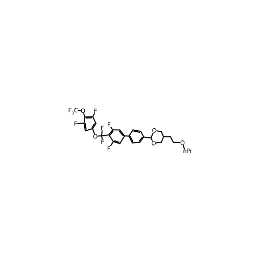 CCCOCCC1COC(c2ccc(-c3cc(F)c(C(F)(F)Oc4cc(F)c(OC(F)(F)F)c(F)c4)c(F)c3)cc2)OC1